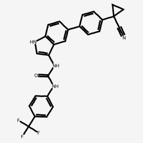 N#CC1(c2ccc(-c3ccc4[nH]cc(NC(=O)Nc5ccc(C(F)(F)F)cc5)c4c3)cc2)CC1